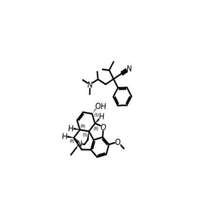 CC(CC(C#N)(c1ccccc1)C(C)C)N(C)C.COc1ccc2c3c1O[C@H]1[C@@H](O)C=C[C@H]4[C@@H](C2)N(C)CC[C@@]341